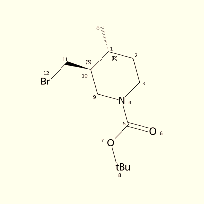 C[C@@H]1CCN(C(=O)OC(C)(C)C)C[C@H]1CBr